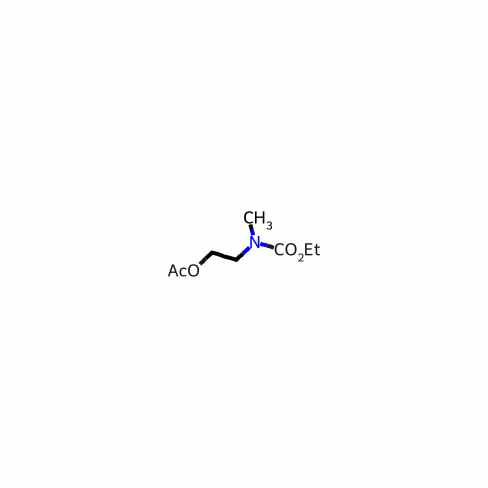 CCOC(=O)N(C)CCOC(C)=O